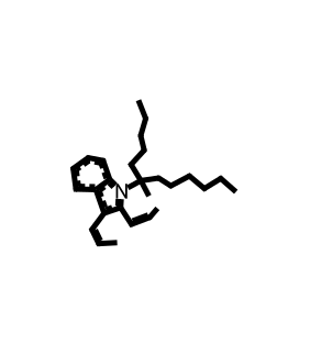 C/C=C\c1c(/C=C\C)n(C(C)(CCCCC)CCCCCC)c2ccccc12